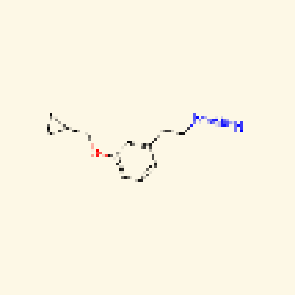 [N-]=[N+]=NCCc1cccc(OCC2CC2)c1